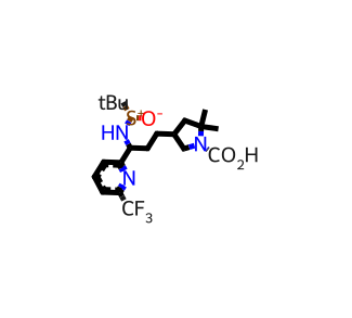 CC1(C)CC(CCC(N[S+]([O-])C(C)(C)C)c2cccc(C(F)(F)F)n2)CN1C(=O)O